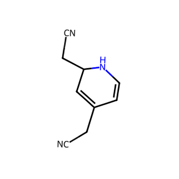 N#CCC1=CC(CC#N)NC=C1